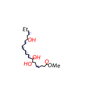 CC/C=C\CC(O)/C=C/C=C\C=C\C=C\C(O)C(O)C/C=C\CCC(=O)OC